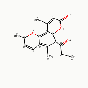 CCCC1=CC(=O)OC2C1=C1OC(CCC)C=CC1=C(C)C2C(=O)CC(C)C